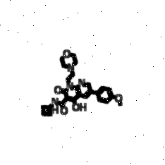 COc1ccc(-c2cnc3c(c2)c(O)c(C(=O)NC24CC(C2)C4)c(=O)n3CCN2CCOCC2)cc1